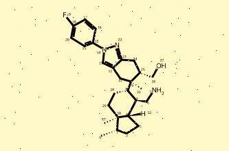 C[C@H]1CC[C@H]2[C@H](CN)[C@@H]([C@@]3(C)Cc4cn(-c5ccc(F)cc5)nc4C[C@@H]3CO)CC[C@]12C